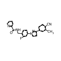 Cc1cc(-c2ccn(-c3ccc(CNC(=O)c4ccccn4)c(F)c3)n2)ccc1C#N